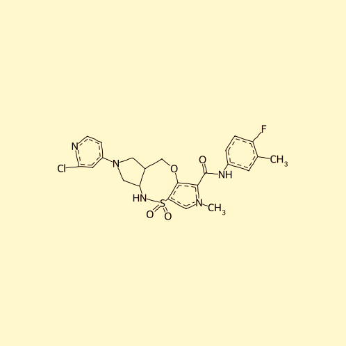 Cc1cc(NC(=O)c2c3c(cn2C)S(=O)(=O)NC2CN(c4ccnc(Cl)c4)CC2CO3)ccc1F